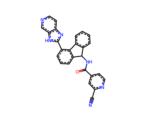 N#Cc1cc(C(=O)NC2c3ccccc3-c3c(-c4nc5ccncc5[nH]4)cccc32)ccn1